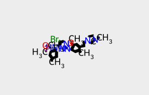 COc1cc(CCN2CCN(C)CC2)c(C)cc1Nc1ncc(Br)c(Nc2ccc(C)cc2P(C)(C)=O)n1